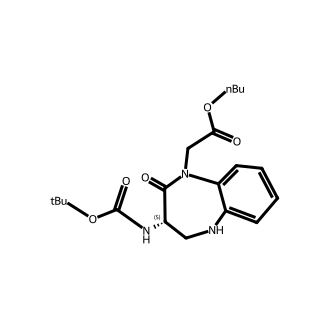 CCCCOC(=O)CN1C(=O)[C@@H](NC(=O)OC(C)(C)C)CNc2ccccc21